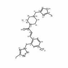 Cc1nnn(Cc2cc(C(F)(F)F)ccc2C=CC(=O)N2CCN(Cc3coc(C)n3)C[C@H]2C)n1